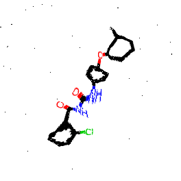 CC1CCCCC1Oc1ccc(NC(=O)NC(=O)c2ccccc2Cl)cc1